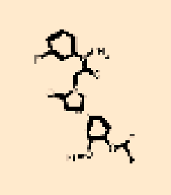 CCOc1cc([C@@H]2CC(=O)N(CC(=O)N(C)c3cccc(F)c3)C2)ccc1OC(F)F